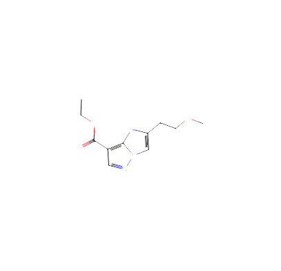 CCOC(=O)c1cnn2cc(CCOC)[nH]c12